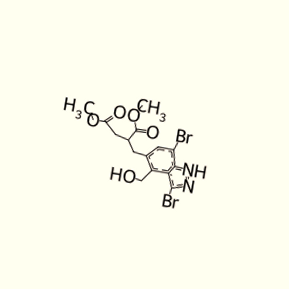 COC(=O)CC(Cc1cc(Br)c2[nH]nc(Br)c2c1CO)C(=O)OC